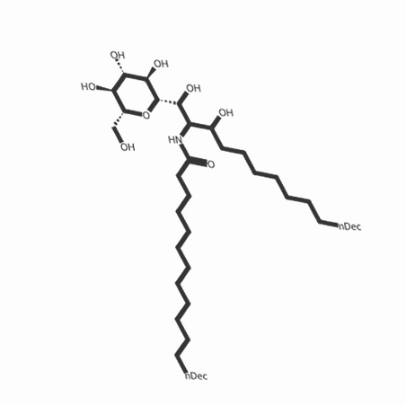 CCCCCCCCCCCCCCCCCCCCCC(=O)NC(C(O)CCCCCCCCCCCCCCCCC)C(O)[C@@H]1O[C@H](CO)[C@@H](O)[C@H](O)[C@H]1O